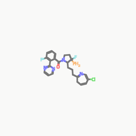 O=C(c1cccc(F)c1-c1ncccn1)N1CCC(F)(P)C1CCCC1=NC=C(Cl)C=CC1